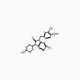 COc1ccc(Cn2c(=O)n(C3CCC(O)CC3)c3ccc(C(F)(F)F)cc32)cc1C#N